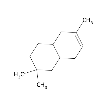 CC1=CCC2CC(C)(C)CCC2C1